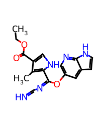 CCOC(=O)c1c[nH]c(/C(=N\C=N)Oc2cnc3[nH]ccc3c2)c1C